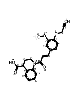 C#CCOc1ccc(/C=C/C(=O)N2CCC(C(=O)O)c3ccccc32)cc1OC